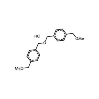 COCc1ccc(COCc2ccc(COC)cc2)cc1.Cl